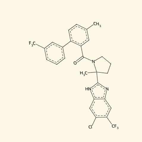 Cc1ccc(-c2cccc(C(F)(F)F)c2)c(C(=O)N2CCCC2(C)c2nc3cc(C(F)(F)F)c(Cl)cc3[nH]2)c1